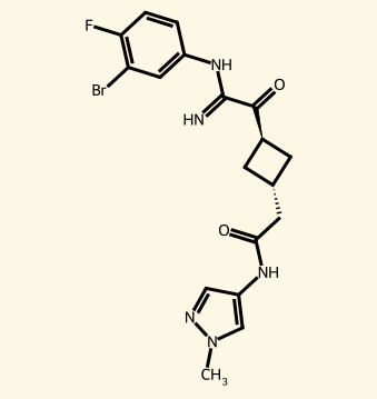 Cn1cc(NC(=O)C[C@H]2C[C@H](C(=O)C(=N)Nc3ccc(F)c(Br)c3)C2)cn1